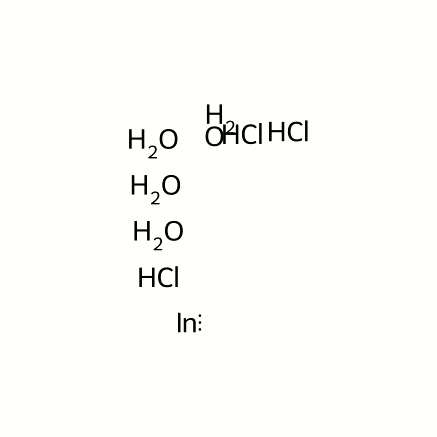 Cl.Cl.Cl.O.O.O.O.[In]